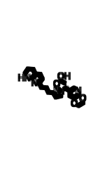 O=C(O)C[C@H](c1cnc2c(c1)OCCO2)n1ccc(CCCc2ccc3c(n2)NCCC3)n1